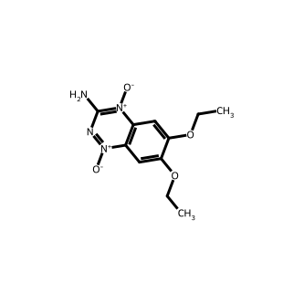 CCOc1cc2c(cc1OCC)[n+]([O-])c(N)n[n+]2[O-]